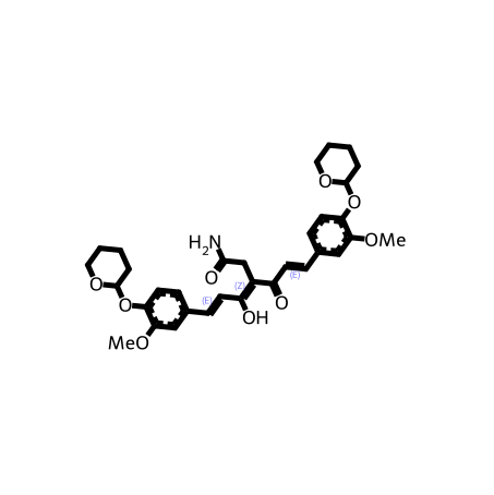 COc1cc(/C=C/C(=O)/C(CC(N)=O)=C(O)/C=C/c2ccc(OC3CCCCO3)c(OC)c2)ccc1OC1CCCCO1